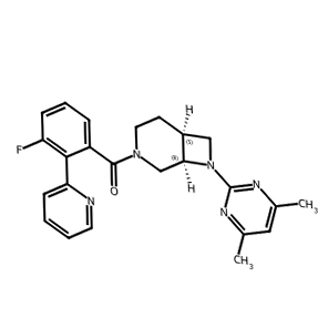 Cc1cc(C)nc(N2C[C@@H]3CCN(C(=O)c4cccc(F)c4-c4ccccn4)C[C@@H]32)n1